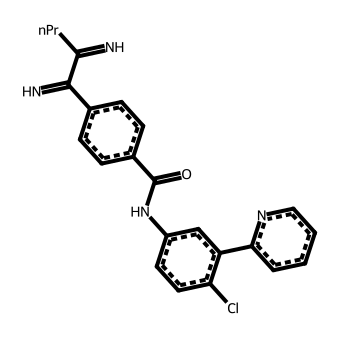 CCCC(=N)C(=N)c1ccc(C(=O)Nc2ccc(Cl)c(-c3ccccn3)c2)cc1